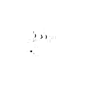 CCO.CCO.CCO.CO[Si](=O)O.N